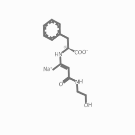 CC(=CC(=O)NCCO)N[C@@H](Cc1ccccc1)C(=O)[O-].[Na+]